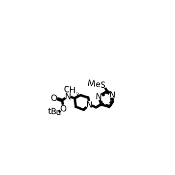 CSc1nccc(CN2CCC(N(C)C(=O)OC(C)(C)C)CC2)n1